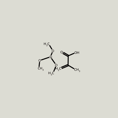 C=C(C)C(=O)O.CO[Si](OC)OC